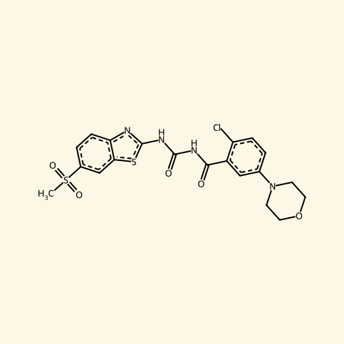 CS(=O)(=O)c1ccc2nc(NC(=O)NC(=O)c3cc(N4CCOCC4)ccc3Cl)sc2c1